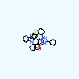 c1ccc(-c2nc(-c3ccccc3)nc(-c3cccc4sc5cccc(-c6cccc7oc8cccc(-n9c%10ccccc%10c%10ccccc%109)c8c67)c5c34)n2)cc1